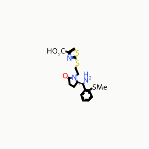 CSc1ccccc1C(N)[C@H]1CCC(=O)N1CCSc1nc(C(=O)O)cs1